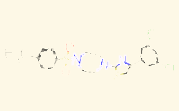 Cc1ccc(S(=O)(=O)N2CCN(c3nc(-c4cc(Cl)cc(Cl)c4)cs3)CC2)cc1